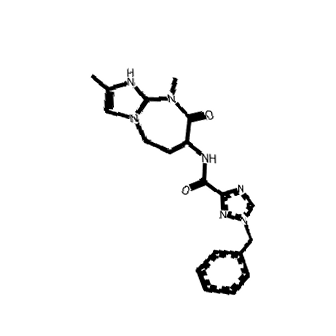 CC1=CN2CCC(NC(=O)c3ncn(Cc4ccccc4)n3)C(=O)N(C)C2N1